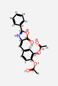 CC(=O)Oc1ccc(C=C2N=C(c3ccccc3)OC2=O)cc1OC(C)=O